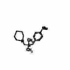 CC(C)(C)c1ccc(C[Si](C)(C)CN2CCCCC2)cc1